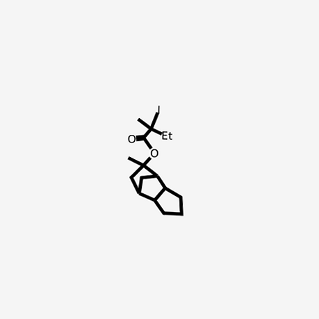 CCC(C)(I)C(=O)OC1(C)CC2CC1C1CCCC21